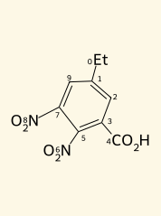 CCc1cc(C(=O)O)c([N+](=O)[O-])c([N+](=O)[O-])c1